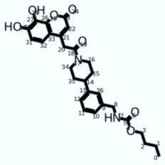 CCCCOC(=O)NCc1cccc(C2CCN(C(=O)Cc3cc(=O)oc4c(O)c(O)ccc34)CC2)c1